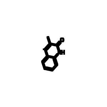 Cc1[c]c2ccccc2[nH]c1=O